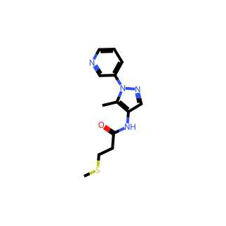 CSCCC(=O)Nc1cnn(-c2cccnc2)c1C